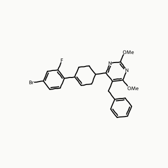 COc1nc(OC)c(Cc2ccccc2)c(C2CC=C(c3ccc(Br)cc3F)CC2)n1